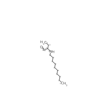 CCCCCCCCCCNC(CC)N=O